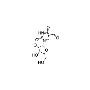 O=Cc1cn([C@@H]2O[C@H](CO)[C@@H](O)[C@@H]2O)c(=O)[nH]c1=O